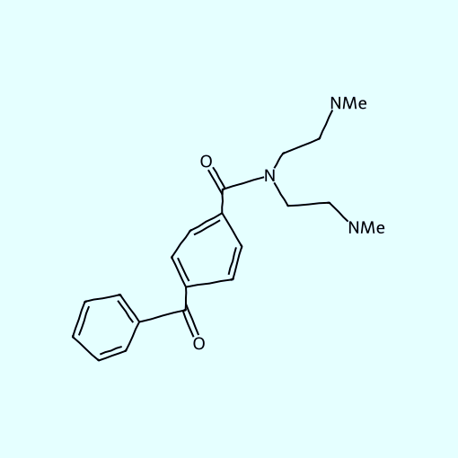 CNCCN(CCNC)C(=O)c1ccc(C(=O)c2ccccc2)cc1